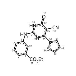 CCOC(=O)c1cccc(Nc2nc(-c3cccs3)c(C#N)c(=O)[nH]2)c1